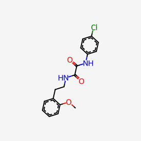 COc1ccccc1CCNC(=O)C(=O)Nc1ccc(Cl)cc1